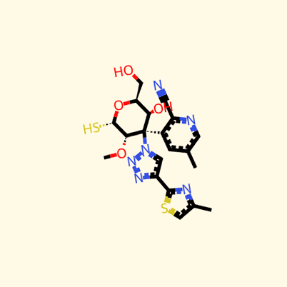 CO[C@@H]1[C@H](S)O[C@@H](CO)[C@@H](O)[C@@]1(c1cc(C)cnc1C#N)n1cc(-c2nc(C)cs2)nn1